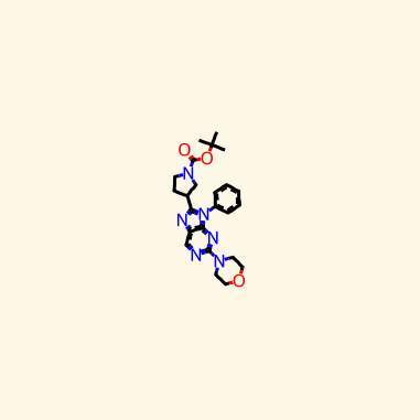 CC(C)(C)OC(=O)N1CCC(c2nc3cnc(N4CCOCC4)nc3n2-c2ccccc2)C1